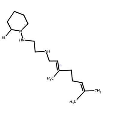 CCC1CCCCN1NCCNC/C=C(\C)CCC=C(C)C